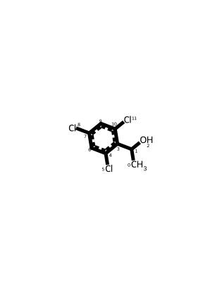 CC(O)c1c(Cl)cc(Cl)cc1Cl